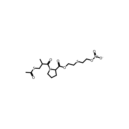 CC(=O)SCC(C)C(=O)N1CCCC1C(=O)OCCSCCO[N+](=O)[O-]